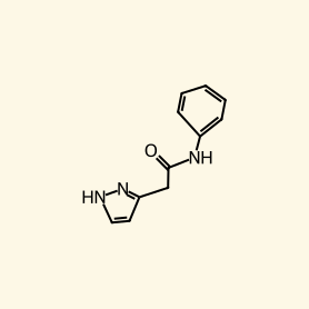 O=C(Cc1cc[nH]n1)Nc1ccccc1